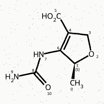 C[C@@H]1OCC(C(=O)O)=C1NC(N)=O